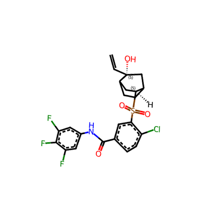 C=C[C@@]1(O)CC2CCC1C[C@@H]2S(=O)(=O)c1cc(C(=O)Nc2cc(F)c(F)c(F)c2)ccc1Cl